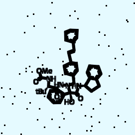 COC(=O)N[C@H](C(=O)NN(Cc1ccc(/C=C/c2ccccc2)cc1)[C@](O)(C(=O)N[C@@H]1CCc2ccccc21)c1ccccc1)C(C)(C)C